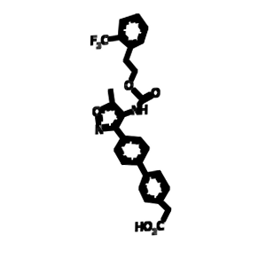 Cc1onc(-c2ccc(-c3ccc(CC(=O)O)cc3)cc2)c1NC(=O)OCCc1ccccc1C(F)(F)F